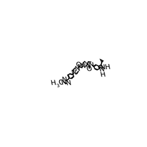 Cn1cnc(-c2ccc(N3CCN(C(=O)CN4CC[C@]5(CCN(c6ccc7c(c6)C(C6CC6)NN7)C5=O)C4)CC3)cc2)n1